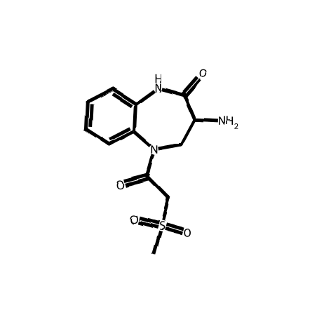 CS(=O)(=O)CC(=O)N1CC(N)C(=O)Nc2ccccc21